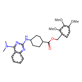 COc1ccc(COC(=O)C2CCC(Nc3nc(N(C)C)c4ccccc4n3)CC2)c(OC)c1OC